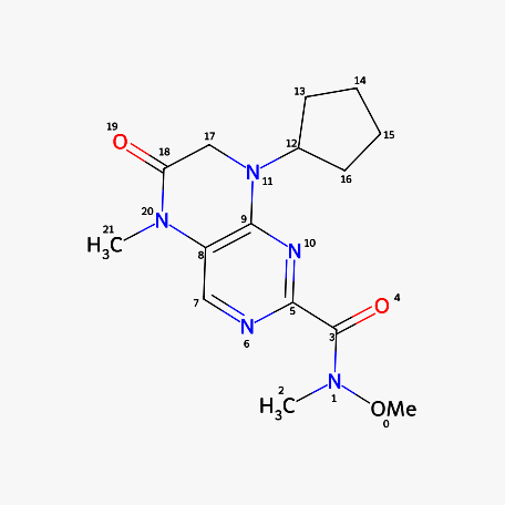 CON(C)C(=O)c1ncc2c(n1)N(C1CCCC1)CC(=O)N2C